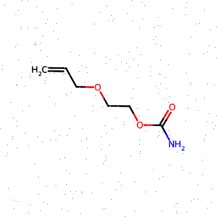 C=CCOCCOC(N)=O